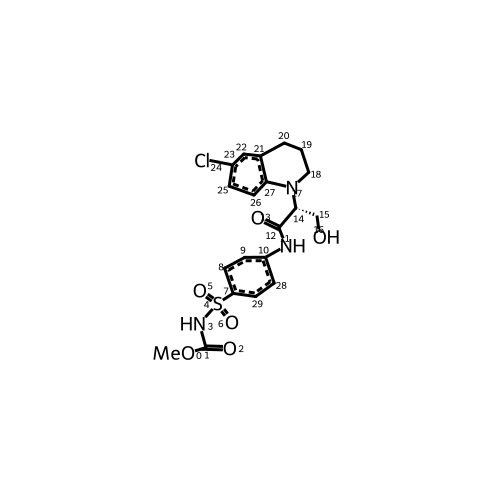 COC(=O)NS(=O)(=O)c1ccc(NC(=O)[C@@H](CO)N2CCCc3cc(Cl)ccc32)cc1